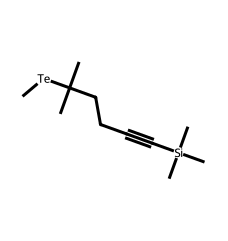 C[Te]C(C)(C)CCC#C[Si](C)(C)C